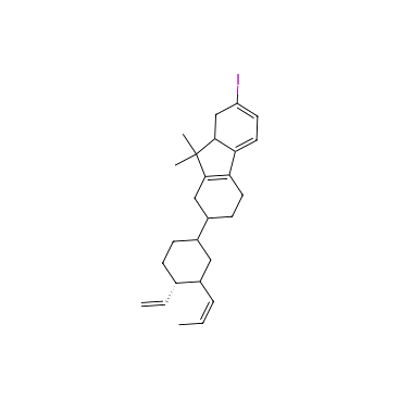 C=C[C@@H]1CCC(C2CCC3=C(C2)C(C)(C)C2CC(I)=CC=C32)CC1/C=C\C